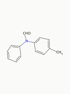 Cc1ccc(N([C]=O)c2ccccc2)cc1